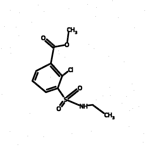 CCNS(=O)(=O)c1cccc(C(=O)OC)c1Cl